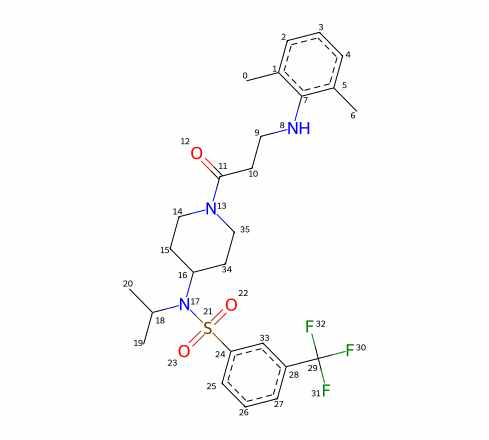 Cc1cccc(C)c1NCCC(=O)N1CCC(N(C(C)C)S(=O)(=O)c2cccc(C(F)(F)F)c2)CC1